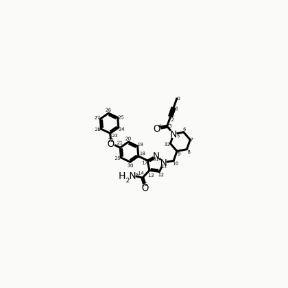 CC#CC(=O)N1CCCC(Cn2cc(C(N)=O)c(-c3ccc(Oc4ccccc4)cc3)n2)C1